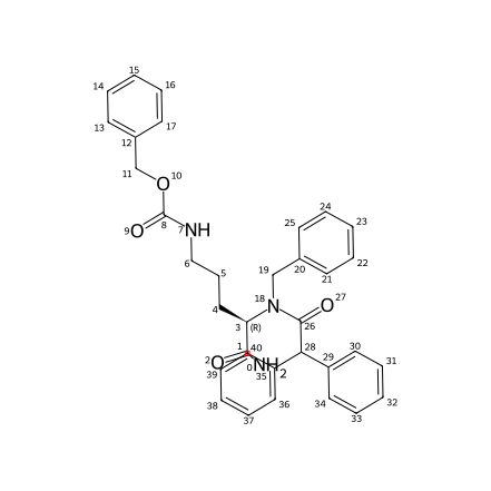 NC(=O)[C@@H](CCCNC(=O)OCc1ccccc1)N(Cc1ccccc1)C(=O)C(c1ccccc1)c1ccccc1